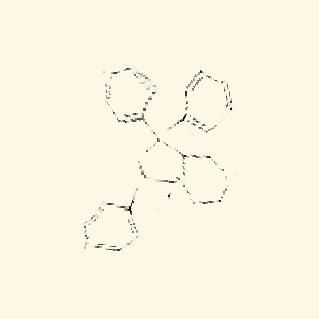 [O-][N@+]12CCOC[C@@H]1[C@@](c1ccccc1)(c1ccncc1)O[C@@H]2c1ccncc1